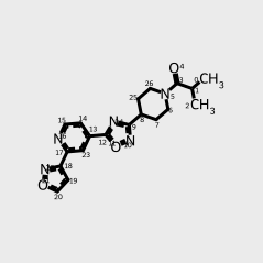 CC(C)C(=O)N1CCC(c2noc(-c3ccnc(-c4ccon4)c3)n2)CC1